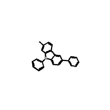 Cc1ccc2c3cc(-c4ccccc4)ccc3n(-c3ccccc3)c2c1